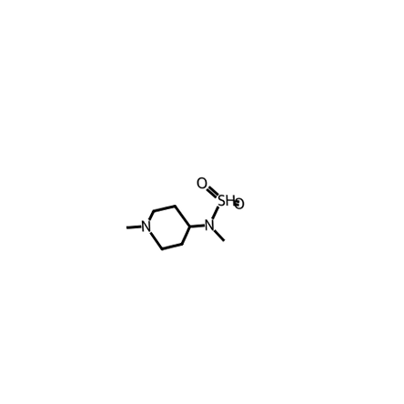 CN1CCC(N(C)[SH](=O)=O)CC1